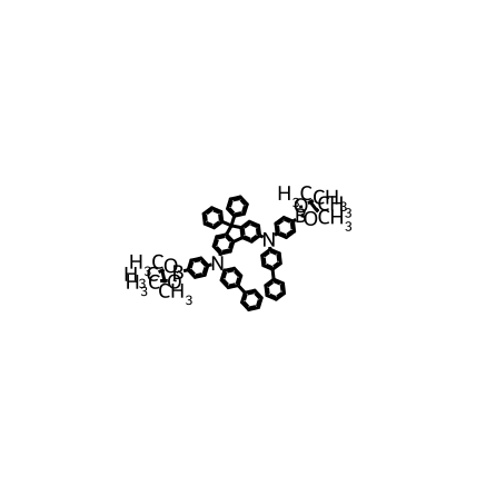 CC1(C)OB(c2ccc(N(c3ccc(-c4ccccc4)cc3)c3ccc4c(c3)-c3cc(N(c5ccc(B6OC(C)(C)C(C)(C)O6)cc5)c5ccc(-c6ccccc6)cc5)ccc3C4(c3ccccc3)c3ccccc3)cc2)OC1(C)C